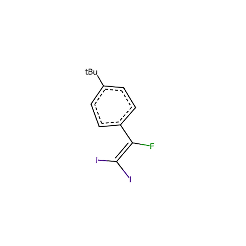 CC(C)(C)c1ccc(C(F)=C(I)I)cc1